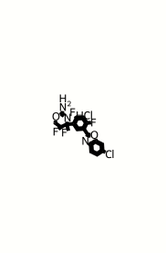 CC1(c2cc(-c3nc4ccc(Cl)cc4o3)c(F)cc2F)N=C(N)OCC1(F)F.Cl